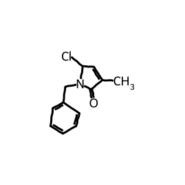 CC1=CC(Cl)N(Cc2ccccc2)C1=O